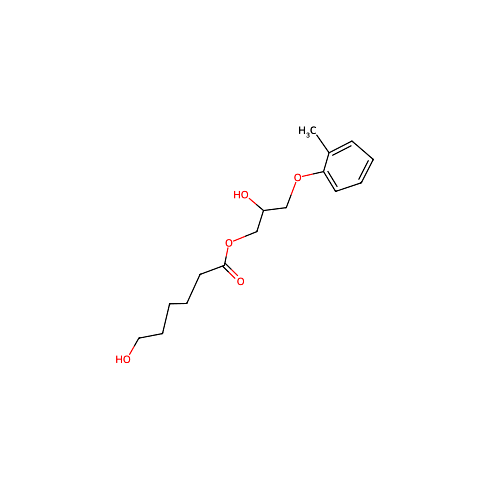 Cc1ccccc1OCC(O)COC(=O)CCCCCO